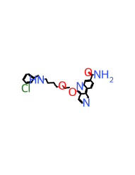 NC(=O)c1ccc2c(c1)nc(OCCOCCCCNCc1cccc(Cl)c1)c1ccncc12